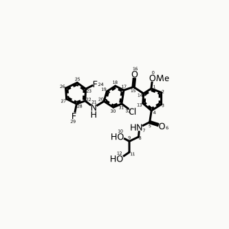 COc1ccc(C(=O)NCC(O)CO)cc1C(=O)c1ccc(Nc2c(F)cccc2F)cc1Cl